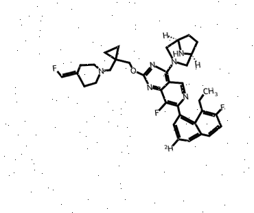 [2H]c1cc(-c2ncc3c(N4C[C@H]5CC[C@@H](C4)N5)nc(OCC4(CN5CCC(=CF)CC5)CC4)nc3c2F)c2c(CC)c(F)ccc2c1